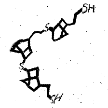 SCCC1CC2CC23C(SC2CC4C(CCSC5CC6CC67C(CCS)CC57)CC5CC524)CC13